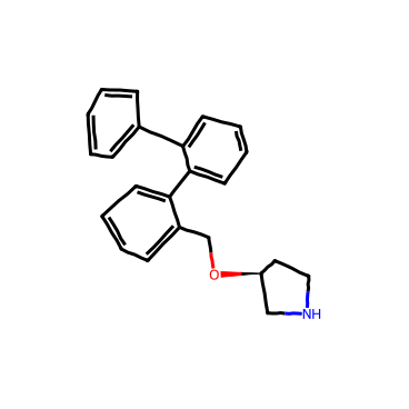 c1ccc(-c2ccccc2-c2ccccc2CO[C@H]2CCNC2)cc1